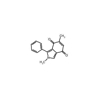 CC1=CC(=O)c2cn(C)c(-c3ccccc3)c2C1=O